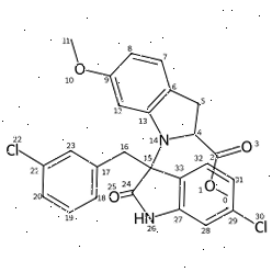 COC(=O)C1Cc2ccc(OC)cc2N1C1(Cc2cccc(Cl)c2)C(=O)Nc2cc(Cl)ccc21